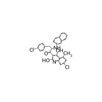 Cc1cc(Cl)cc2nc(O)c(C(=O)C(Cc3ccc(Cl)cc3)Nc3ccc4ccccc4c3)c(O)c12